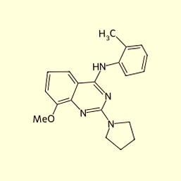 COc1cccc2c(Nc3ccccc3C)nc(N3CCCC3)nc12